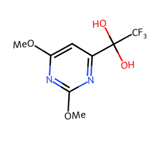 COc1cc(C(O)(O)C(F)(F)F)nc(OC)n1